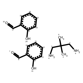 CC(C)(CN)CN.O=Cc1ccccc1O.O=Cc1ccccc1O